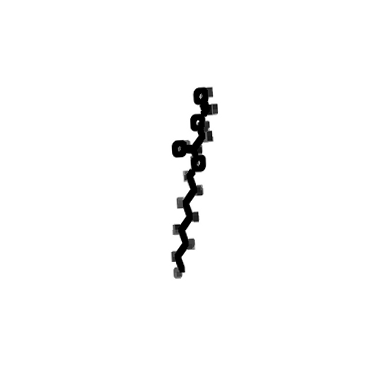 CCCCCCCCOC(=O)COC=O